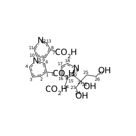 O=C(O)c1cccnc1.O=C(O)c1cccnc1.O=C(O)c1cccnc1C(O)(CO)CCO